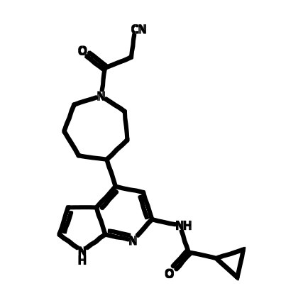 N#CCC(=O)N1CCCC(c2cc(NC(=O)C3CC3)nc3[nH]ccc23)CC1